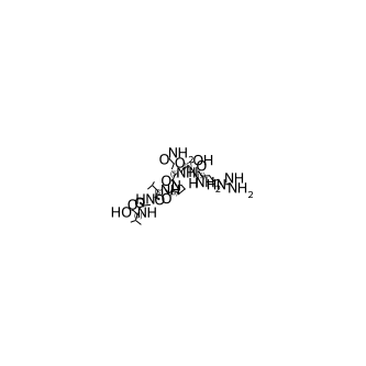 CC(C)[C@H](NC(=O)CNC(=O)[C@@H](NC(=O)[C@@H]1CCCN1C(=O)[C@H](CCC(N)=O)NC(=O)[C@H](CO)NC(=O)[C@@H](N)CCCNC(=N)N)C(C)C)C(=O)O